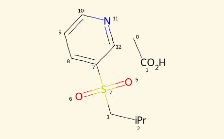 CC(=O)O.CC(C)CS(=O)(=O)c1cccnc1